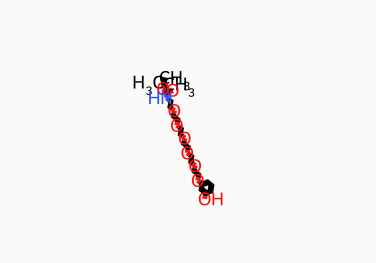 CC(C)(C)OC(=O)NCCOCCOCCOCCOCCOCCOc1cccc(O)c1